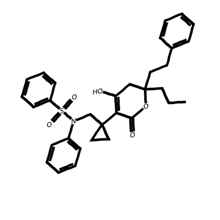 CCCC1(CCc2ccccc2)CC(O)=C(C2(CN(c3ccccc3)S(=O)(=O)c3ccccc3)CC2)C(=O)O1